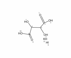 I.O=C(O)C(O)C(O)C(=O)O.[KH]